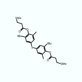 CSCCC(=O)Oc1c(C)cc(Sc2cc(C)c(OC(=O)CCSC)c(C(C)(C)C)c2)cc1C(C)(C)C